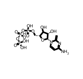 C=C1N=C(N)C=CN1[C@@H]1O[C@H](COP(=O)(O)OP(=O)(O)OP(=O)(O)O)C(O)[C@@H]1O